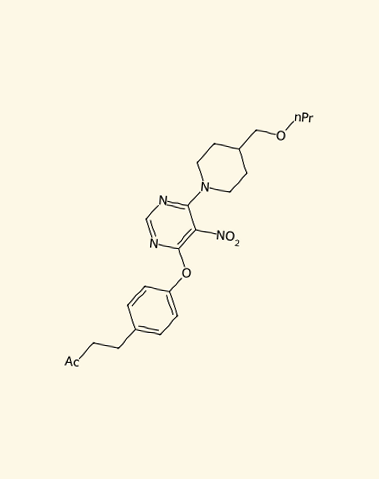 CCCOCC1CCN(c2ncnc(Oc3ccc(CCC(C)=O)cc3)c2[N+](=O)[O-])CC1